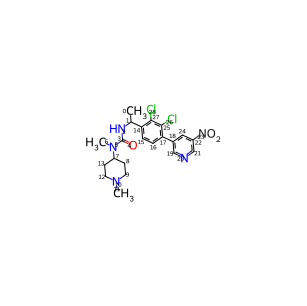 CC(NC(=O)N(C)C1CCN(C)CC1)c1ccc(-c2cncc([N+](=O)[O-])c2)c(Cl)c1Cl